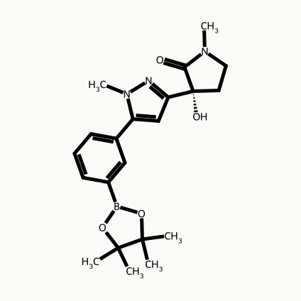 CN1CC[C@@](O)(c2cc(-c3cccc(B4OC(C)(C)C(C)(C)O4)c3)n(C)n2)C1=O